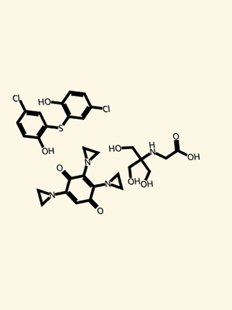 O=C(O)CNC(CO)(CO)CO.O=C1C=C(N2CC2)C(=O)C(N2CC2)=C1N1CC1.Oc1ccc(Cl)cc1Sc1cc(Cl)ccc1O